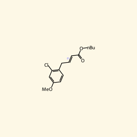 CCCCOC(=O)/C=C/Cc1ccc(OC)cc1Cl